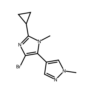 Cn1cc(-c2c(Br)nc(C3CC3)n2C)cn1